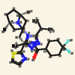 Cc1nnc(C(C)C)n1[C@@H]1C[C@H]2CC[C@@H](C1)N2CC[C@H](NC(=O)C1CCC(F)(F)CC1)c1nccs1